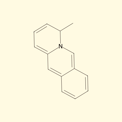 CC1C=CC=C2C=c3ccccc3=CN21